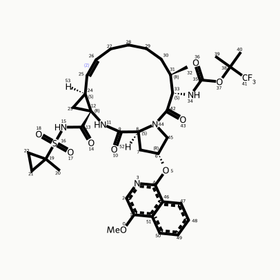 COc1cnc(O[C@@H]2C[C@H]3C(=O)N[C@]4(C(=O)NS(=O)(=O)C5(C)CC5)C[C@H]4/C=C\CCCC[C@@H](C)[C@H](NC(=O)OC(C)(C)C(F)(F)F)C(=O)N3C2)c2ccccc12